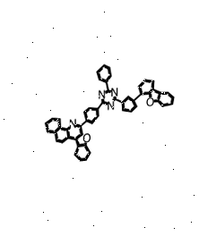 c1ccc(-c2nc(-c3ccc(-c4nc5c6ccccc6ccc5c5c4oc4ccccc45)cc3)nc(-c3cccc(-c4cccc5c4oc4ccccc45)c3)n2)cc1